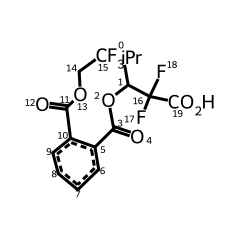 CC(C)C(OC(=O)c1ccccc1C(=O)OCC(F)(F)F)C(F)(F)C(=O)O